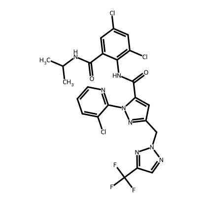 CC(C)NC(=O)c1cc(Cl)cc(Cl)c1NC(=O)c1cc(Cn2ncc(C(F)(F)F)n2)nn1-c1ncccc1Cl